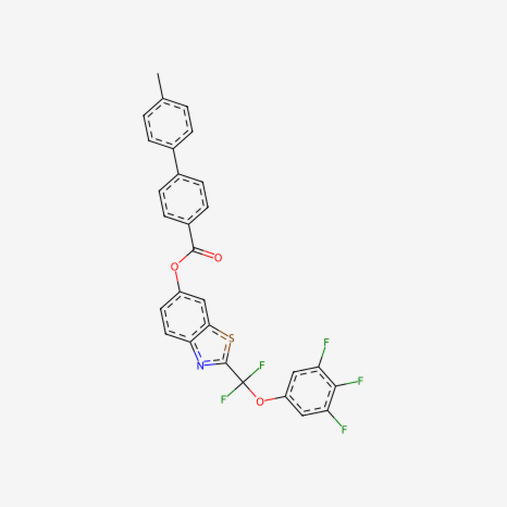 Cc1ccc(-c2ccc(C(=O)Oc3ccc4nc(C(F)(F)Oc5cc(F)c(F)c(F)c5)sc4c3)cc2)cc1